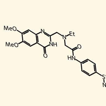 CCN(CC(=O)Nc1ccc([S+](N)[O-])cc1)Cc1nc2cc(OC)c(OC)cc2c(=O)[nH]1